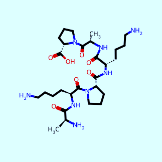 C[C@H](N)C(=O)N[C@@H](CCCCN)C(=O)N1CCC[C@H]1C(=O)N[C@@H](CCCCN)C(=O)N[C@@H](C)C(=O)N1CCC[C@H]1C(=O)O